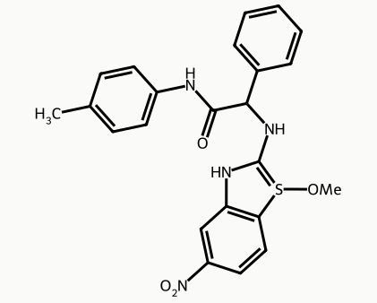 COS1=C(NC(C(=O)Nc2ccc(C)cc2)c2ccccc2)Nc2cc([N+](=O)[O-])ccc21